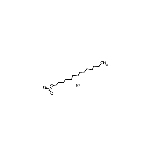 CCCCCCCCCCCCCCO[S-](=O)=O.[K+]